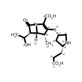 CC(O)[C@H]1C(=O)N2C(C(=O)O)=C(S[C@@H]3CN[C@H](CCC(=O)O)C3)[C@H](C)[C@H]12